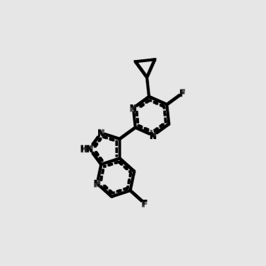 Fc1cnc2[nH]nc(-c3ncc(F)c(C4CC4)n3)c2c1